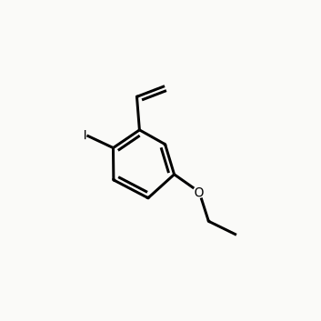 C=Cc1cc(OCC)ccc1I